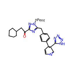 CCCCCn1nc(C(=O)CC2CCCCC2)nc1Cc1ccc(-c2ccncc2-c2nnn[nH]2)cc1